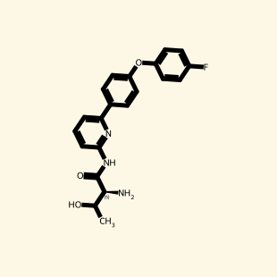 CC(O)[C@H](N)C(=O)Nc1cccc(-c2ccc(Oc3ccc(F)cc3)cc2)n1